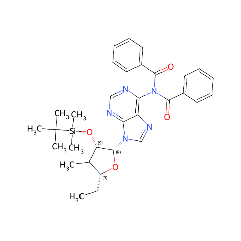 CC[C@H]1O[C@@H](n2cnc3c(N(C(=O)c4ccccc4)C(=O)c4ccccc4)ncnc32)[C@@H](O[Si](C)(C)C(C)(C)C)C1C